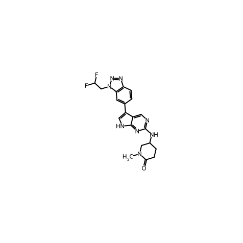 CN1CC(Nc2ncc3c(-c4ccc5nnn(CC(F)F)c5c4)c[nH]c3n2)CCC1=O